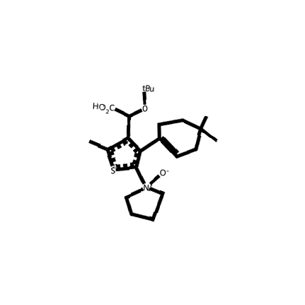 Cc1sc([N+]2([O-])CCCC2)c(C2=CCC(C)(C)CC2)c1C(OC(C)(C)C)C(=O)O